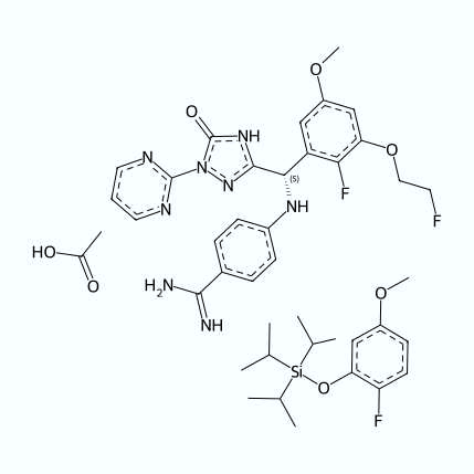 CC(=O)O.COc1cc(OCCF)c(F)c([C@H](Nc2ccc(C(=N)N)cc2)c2nn(-c3ncccn3)c(=O)[nH]2)c1.COc1ccc(F)c(O[Si](C(C)C)(C(C)C)C(C)C)c1